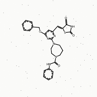 O=C1NC(=O)C(=Cc2cc(OCc3ccccc3)nc(N3CCCN(C(=O)Nc4ccccc4)CC3)n2)S1